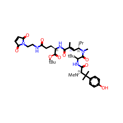 CN[C@H](C(=O)NC(C(=O)N(C)[C@H](/C=C(\C)C(=O)N[C@H](CCC(=O)NCCN1C(=O)C=CC1=O)C(=O)OC(C)(C)C)C(C)C)C(C)(C)C)C(C)(C)c1ccc(O)cc1